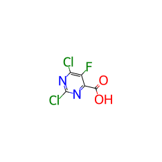 O=C(O)c1nc(Cl)nc(Cl)c1F